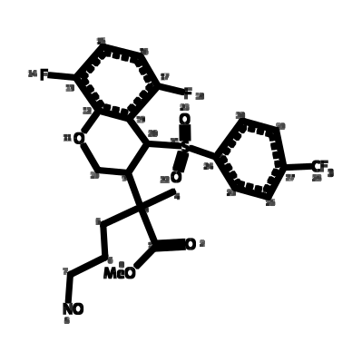 COC(=O)C(C)(CCCN=O)C1COc2c(F)ccc(F)c2C1S(=O)(=O)c1ccc(C(F)(F)F)cc1